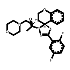 CC(=O)N1N=C(c2cc(F)ccc2F)S[C@@]12c1ccccc1OC[C@H]2CCN1CCOCC1